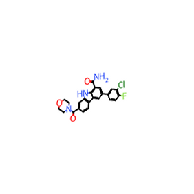 NC(=O)c1cc(-c2ccc(F)c(Cl)c2)cc2c1[nH]c1cc(C(=O)N3CCOCC3)ccc12